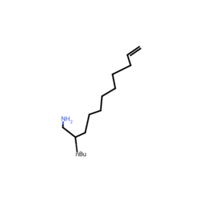 C=CCCCCCCCC(CN)CCCC